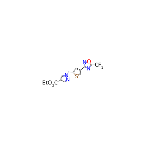 CCOC(=O)c1cnn(Cc2cc(-c3noc(C(F)(F)F)n3)cs2)c1